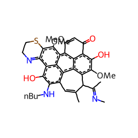 CCCCNc1c(O)c2c3c(c(OC)c4c5c6c(c(O)c(OC)c7c6c(c1C=C(C)C7/C(C)=N/C)c42)C(=O)C=C5OC)SCCN=3